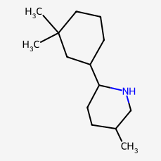 CC1CCC(C2CCCC(C)(C)C2)NC1